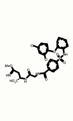 COC(=N)C[C@H](NC(=O)CNC(=O)c1ccc(S(=O)(=O)Nc2ccccc2Oc2ccc(Cl)cc2Cl)cc1)C(=O)O